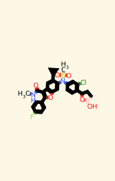 CNC(=O)c1c(-c2ccc(F)cc2)oc2cc(N(c3ccc(C4CCB(O)O4)c(Cl)c3)S(C)(=O)=O)c(C3CC3)cc12